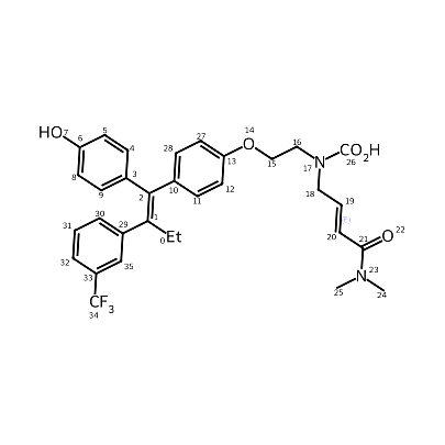 CCC(=C(c1ccc(O)cc1)c1ccc(OCCN(C/C=C/C(=O)N(C)C)C(=O)O)cc1)c1cccc(C(F)(F)F)c1